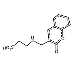 O=c1oc2ccccc2cc1CNCCS(=O)(=O)O